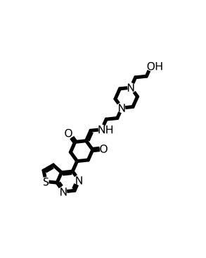 O=C1CC(c2ncnc3sccc23)CC(=O)C1=CNCCN1CCN(CCO)CC1